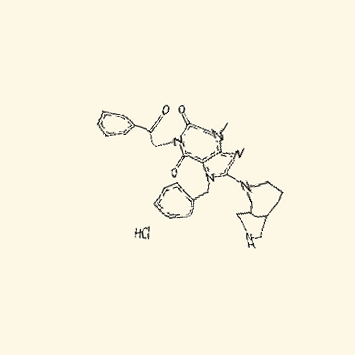 Cl.Cn1c(=O)n(CC(=O)c2ccccc2)c(=O)c2c1nc(N1CCC3CNCC31)n2Cc1ccccc1